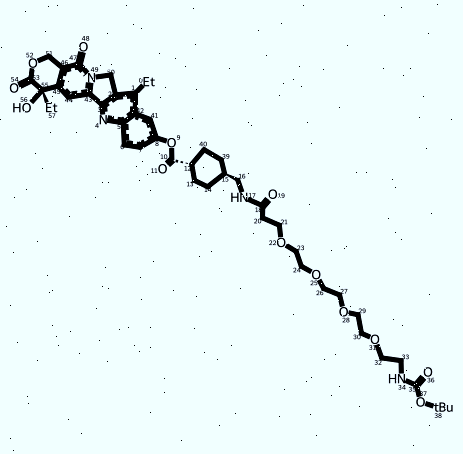 CCc1c2c(nc3ccc(OC(=O)[C@H]4CC[C@H](CNC(=O)CCOCCOCCOCCOCCNC(=O)OC(C)(C)C)CC4)cc13)-c1cc3c(c(=O)n1C2)COC(=O)[C@]3(O)CC